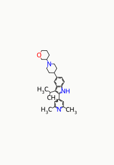 Cc1cc(-c2[nH]c3ccc(C4CCN(C5CCCOC5)CC4)cc3c2C(C)C)cc(C)n1